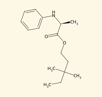 CCC(C)(C)CCOC(=O)[C@H](C)Nc1ccccc1